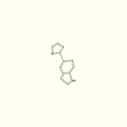 [c]1cnc(-c2ccc3[nH]ccc3c2)s1